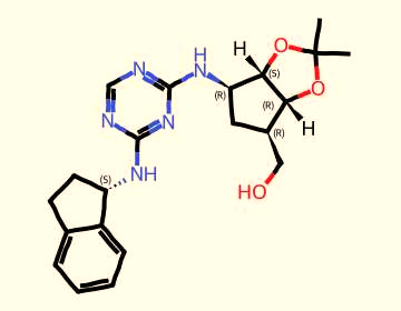 CC1(C)O[C@@H]2[C@@H](CO)C[C@@H](Nc3ncnc(N[C@H]4CCc5ccccc54)n3)[C@@H]2O1